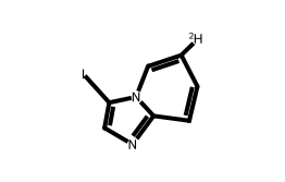 [2H]c1ccc2ncc(I)n2c1